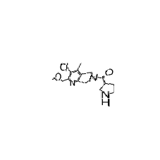 COCc1nc2c(c(C)c1Cl)CN(C(=O)C1CCNC1)C2